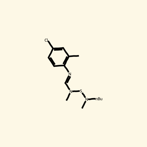 CCCCN(C)SN(C)C=Nc1ccc(Cl)cc1C